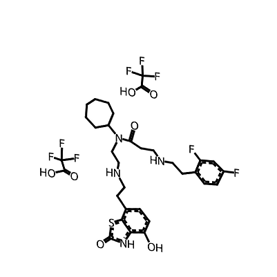 O=C(CCNCCc1ccc(F)cc1F)N(CCNCCc1ccc(O)c2[nH]c(=O)sc12)C1CCCCCC1.O=C(O)C(F)(F)F.O=C(O)C(F)(F)F